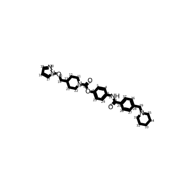 O=C(Nc1ccc(OC(=O)N2CCC(COn3cccn3)CC2)cc1)c1ccc(CN2CCCCC2)cc1